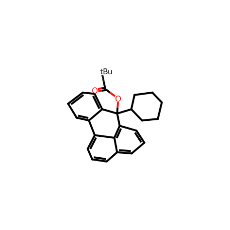 CC(C)(C)C(=O)OC1(C2CCCCC2)c2ccccc2-c2cccc3cccc1c23